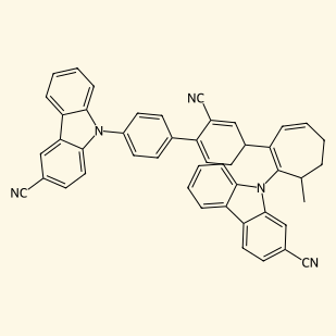 CC1CCC=CC(C2C=C(C#N)C(c3ccc(-n4c5ccccc5c5cc(C#N)ccc54)cc3)=CC2)=C1n1c2ccccc2c2ccc(C#N)cc21